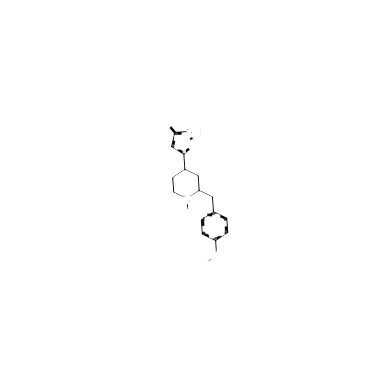 O=C(O)N1CCC(c2cc(=O)[nH]o2)CC1Cc1ccc(OC(F)(F)F)cc1